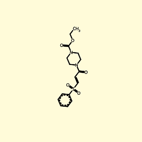 CCOC(=O)N1CCN(C(=O)C=CS(=O)(=O)c2ccccc2)CC1